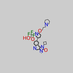 Cn1c(=O)n(C2CCC2)c2c3cc(-c4ccc(OCCCN5CCCCC5)nc4)ccc3ncc21.O=C(O)C(F)(F)F